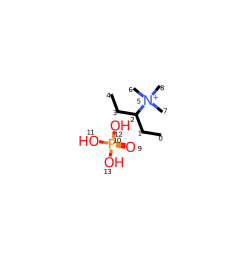 CCC(CC)[N+](C)(C)C.O=P(O)(O)O